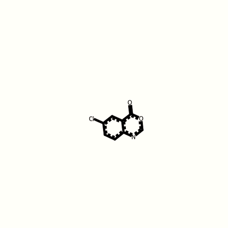 O=c1ocnc2ccc(Cl)cc12